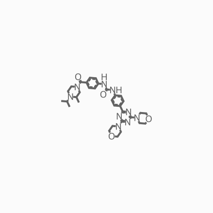 CC(C)N1CCN(C(=O)c2ccc(NC(=O)Nc3ccc(-c4nc(N5CCOCC5)nc(N5CCOCC5)n4)cc3)cc2)CC1C